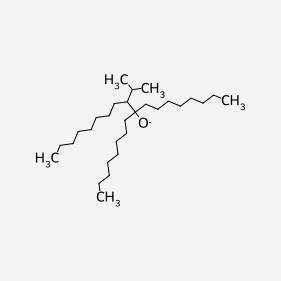 CCCCCCCCC(C(C)C)C([O])(CCCCCCCC)CCCCCCCC